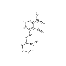 N#Cc1c(OCC2CCCCN2Cl)cccc1[N+](=O)[O-]